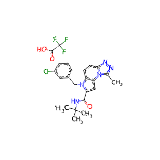 Cc1nnc2ccc3c(cc(C(=O)NC(C)(C)C)n3Cc3cccc(Cl)c3)n12.O=C(O)C(F)(F)F